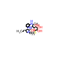 CCC[C@@H]1C[C@@H](C(=O)N[C@H](C(C)Nc2ccccc2)[C@H]2OC(SC)[C@H](O)C(O)C2O)N(C)C1